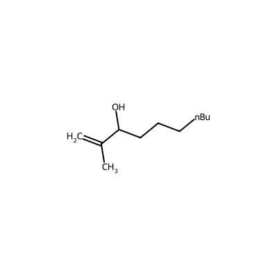 C=C(C)C(O)CCCCCCC